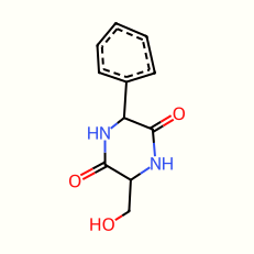 O=C1NC(c2ccccc2)C(=O)NC1CO